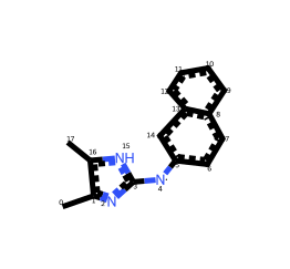 Cc1nc([N]c2ccc3ccccc3c2)[nH]c1C